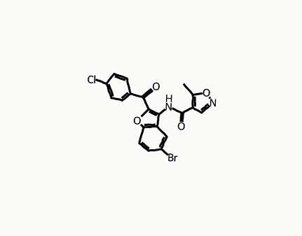 Cc1oncc1C(=O)Nc1c(C(=O)c2ccc(Cl)cc2)oc2ccc(Br)cc12